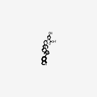 CC12CC=C3C=C4CCC(N5CC(O)C[C@H]5C(=O)O)C[C@]45CC[C@]3(O5)[C@@H]1CCC2c1ccc2ccncc2c1